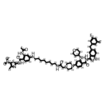 CC(=O)Nc1cc(NCCCCCCCCNC(=O)CN2CCN(c3ccc(C(=O)Nc4n[nH]c5ccc(Cc6cc(F)cc(F)c6)cc45)c(NC4CCOCC4)c3)CC2)ccc1C(=O)Nc1nc(C)c([N+](=O)[O-])s1